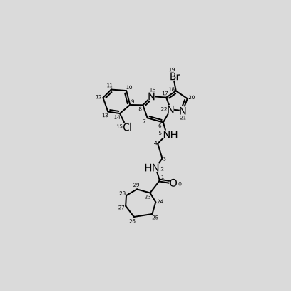 O=C(NCCNc1cc(-c2ccccc2Cl)nc2c(Br)cnn12)C1CCCCCC1